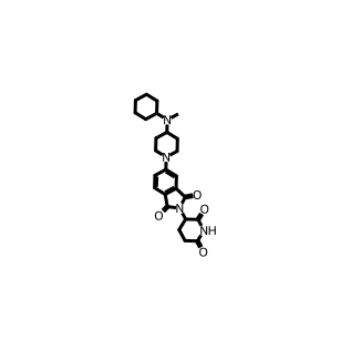 CN(C1CCCCC1)C1CCN(c2ccc3c(c2)C(=O)N(C2CCC(=O)NC2=O)C3=O)CC1